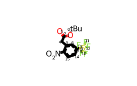 CC(C)(C)OC(=O)Cc1cc(S(F)(F)(F)(F)F)ccc1[N+](=O)[O-]